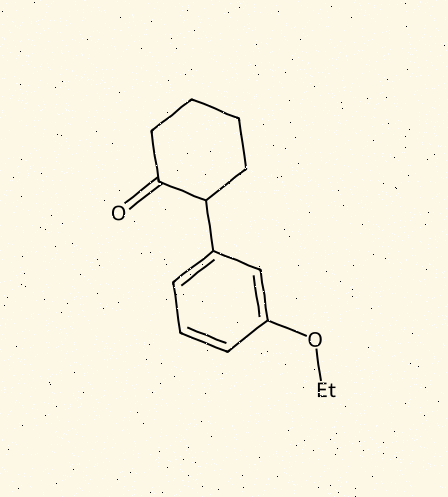 CCOc1cccc(C2CCCCC2=O)c1